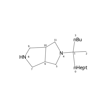 CCCCCCCC(C)(CCCC)N1CC2CNCC2C1